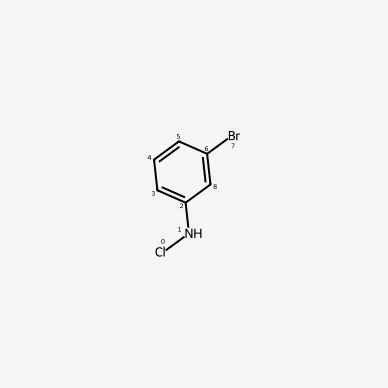 ClNc1cccc(Br)c1